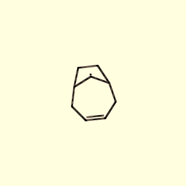 [CH]1C2CC=CCC1CC2